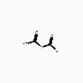 O=C(O)[N]C(=O)O